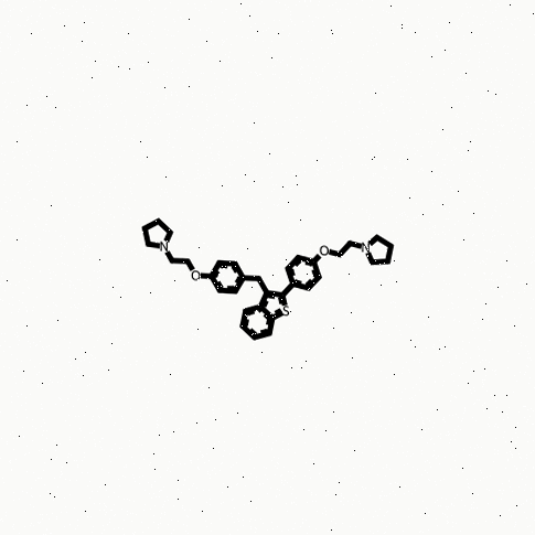 c1ccc2c(Cc3ccc(OCCN4CCCC4)cc3)c(-c3ccc(OCCN4CCCC4)cc3)sc2c1